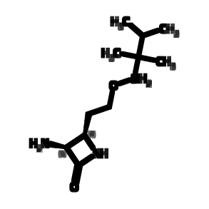 CC(C)C(C)(C)[SiH2]OCC[C@H]1NC(=O)[C@H]1N